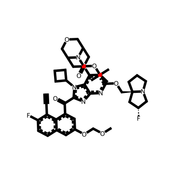 C#Cc1c(F)ccc2cc(OCOC)cc(C(=O)c3nc4nc(OC[C@@]56CCCN5C[C@H](F)C6)nc(N5CC6COCC(C5)N6C(=O)OC(C)(C)C)c4n3C3CCC3)c12